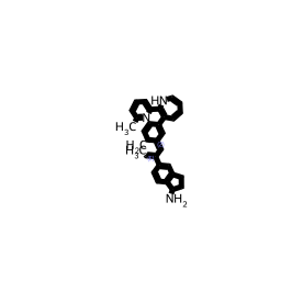 C=c1ccc(C2=C(c3cccc(C)n3)NC=CC=C2)c/c1=C/C(=C\C)c1ccc2c(c1)CCC2N